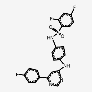 O=S(=O)(Nc1ccc(Nc2cc(-c3ccc(F)cc3)ncn2)cc1)c1ccc(F)cc1F